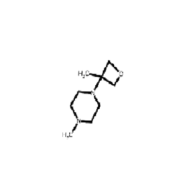 CN1CCN(C2(C)COC2)CC1